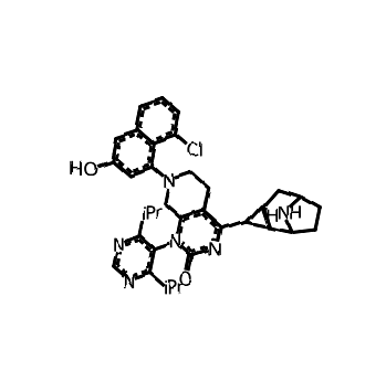 CC(C)c1ncnc(C(C)C)c1-n1c2c(c(C3C4C5CCC(C[C@H]34)N5)nc1=O)CCN(c1cc(O)cc3cccc(Cl)c13)C2